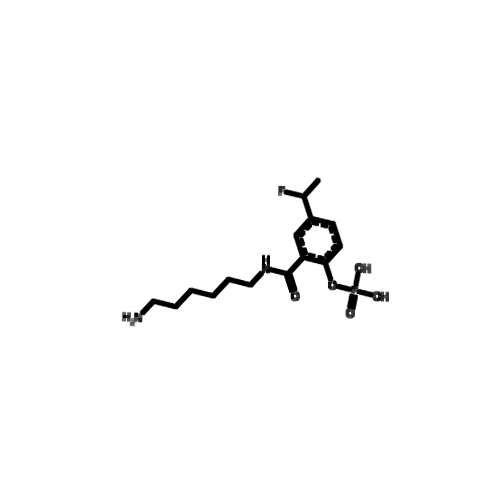 CC(F)c1ccc(OP(=O)(O)O)c(C(=O)NCCCCCCN)c1